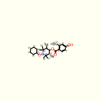 [3H]C1C(OC(=O)c2ccc(O)cc2CCCC)C([3H])C(C)(C)N(OC2CCCCC2)C1(C)C